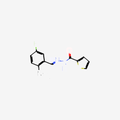 O=C(N/N=C/c1cc(F)ccc1[N+](=O)[O-])c1cccs1